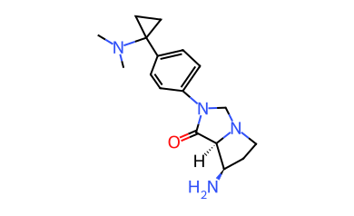 CN(C)C1(c2ccc(N3CN4CC[C@@H](N)[C@H]4C3=O)cc2)CC1